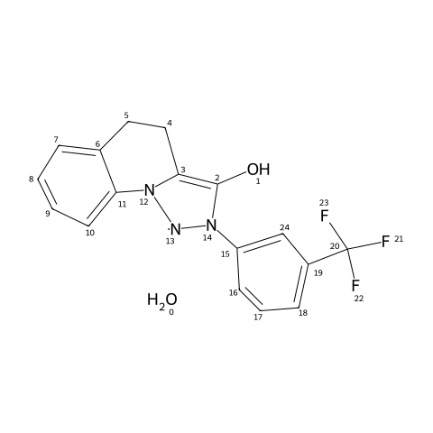 O.OC1=C2CCc3ccccc3N2[N]N1c1cccc(C(F)(F)F)c1